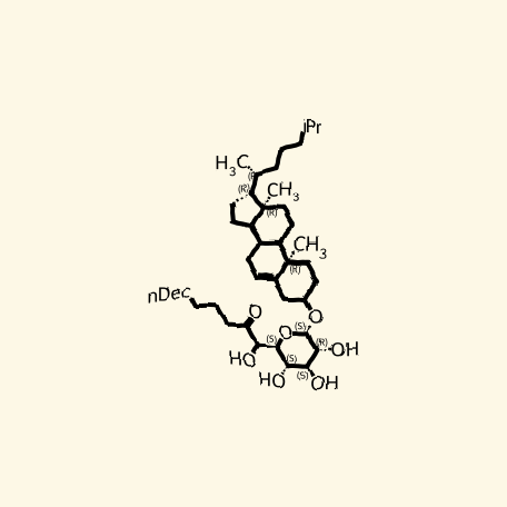 CCCCCCCCCCCCCC(=O)C(O)[C@H]1O[C@H](OC2CC[C@@]3(C)C(=CCC4C3CC[C@@]3(C)C4CC[C@@H]3[C@H](C)CCCC(C)C)C2)[C@H](O)[C@@H](O)[C@@H]1O